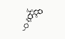 CC[C@H]1CC[C@H](c2nc3cc(C(=O)OC)c(-n4ccc5ccccc5c4=O)cc3s2)CC1